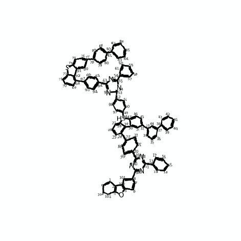 C1=Cc2c(oc3ccc(-c4nc(-c5ccccc5)nc(-c5ccc(-c6cccc7c6-c6cc(-c8cccc(-c9ccccc9)c8)ccc6[SH]7c6ccc(-c7nc(-c8ccccc8)nc(-c8ccc(-c9cccc%10sc%11ccc(-c%12ccc(-c%13ccccc%13)cc%12)cc%11c9%10)cc8)n7)cc6)cc5)n4)cc23)CC1